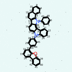 c1ccc(-n2c3c4ccccc4ccc3c3ccc4c(c5ccccc5n4-c4ccc(-c5cccc6c5oc5ccccc56)cc4)c32)cc1